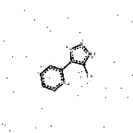 Oc1[nH]nnc1-c1ccccn1